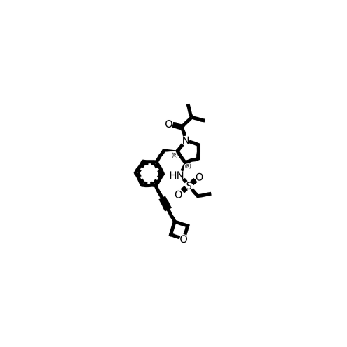 CCS(=O)(=O)N[C@@H]1CCN(C(=O)C(C)C)[C@@H]1Cc1cccc(C#CC2COC2)c1